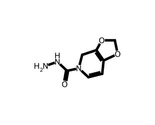 NNC(=O)N1C=CC2=C(C1)OCO2